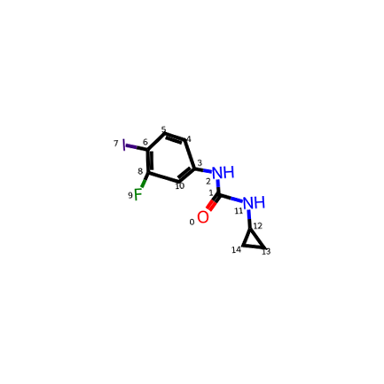 O=C(Nc1ccc(I)c(F)c1)NC1CC1